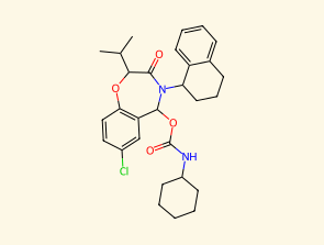 CC(C)C1Oc2ccc(Cl)cc2C(OC(=O)NC2CCCCC2)N(C2CCCc3ccccc32)C1=O